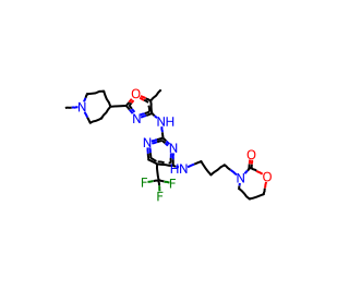 Cc1oc(C2CCN(C)CC2)nc1Nc1ncc(C(F)(F)F)c(NCCCN2CCCOC2=O)n1